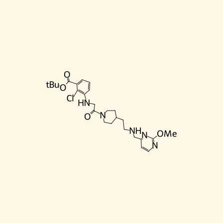 COc1nccc(CNCCC2CCN(C(=O)CNc3cccc(C(=O)OC(C)(C)C)c3Cl)CC2)n1